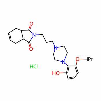 CC(C)Oc1cccc(O)c1N1CCN(CCCN2C(=O)C3CC=CCC3C2=O)CC1.Cl